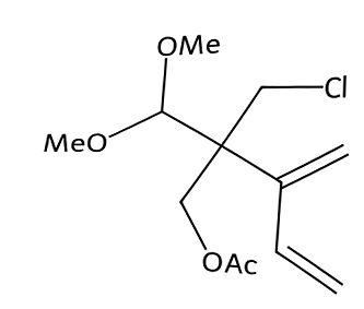 C=CC(=C)C(CCl)(COC(C)=O)C(OC)OC